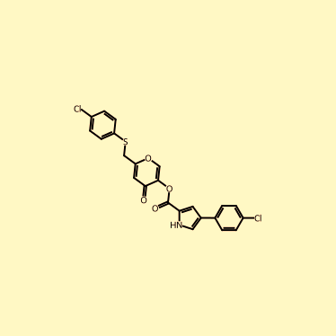 O=C(Oc1coc(CSc2ccc(Cl)cc2)cc1=O)c1cc(-c2ccc(Cl)cc2)c[nH]1